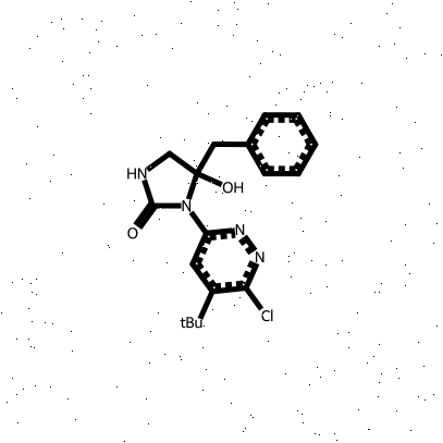 CC(C)(C)c1cc(N2C(=O)NCC2(O)Cc2ccccc2)nnc1Cl